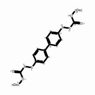 CCCCCCCCCCOC(=O)SSc1ccc(-c2ccc(SSC(=O)OCCCCCCCCCC)cc2)cc1